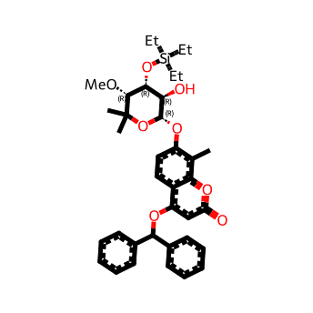 CC[Si](CC)(CC)O[C@@H]1[C@@H](O)[C@H](Oc2ccc3c(OC(c4ccccc4)c4ccccc4)cc(=O)oc3c2C)OC(C)(C)[C@@H]1OC